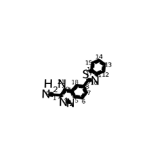 N#Cc1nnc2ccc(-c3nc4ccccc4s3)cc2c1N